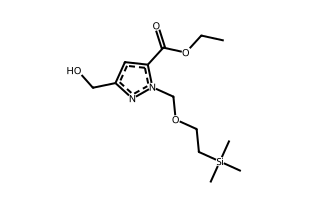 CCOC(=O)c1cc(CO)nn1COCC[Si](C)(C)C